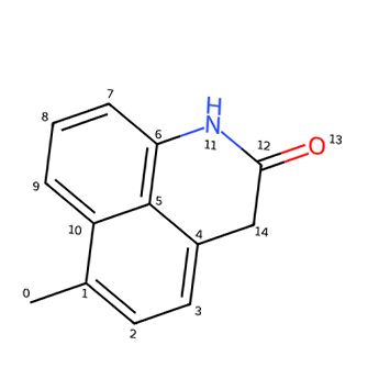 Cc1ccc2c3c(cccc13)NC(=O)C2